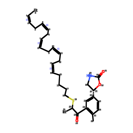 CC/C=C\C/C=C\C/C=C\C/C=C\C/C=C\CCCCSC(CC)C(=O)c1cc([C@@H]2CNC(=O)O2)ccc1C